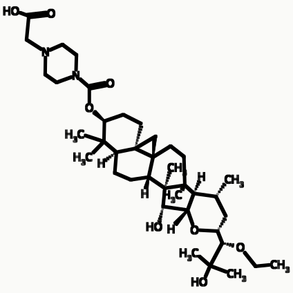 CCO[C@@H]([C@H]1C[C@@H](C)[C@H]2[C@H](O1)[C@H](O)[C@@]1(C)[C@@H]3CC[C@H]4C(C)(C)[C@@H](OC(=O)N5CCN(CC(=O)O)CC5)CC[C@@]45C[C@@]35CC[C@]21C)C(C)(C)O